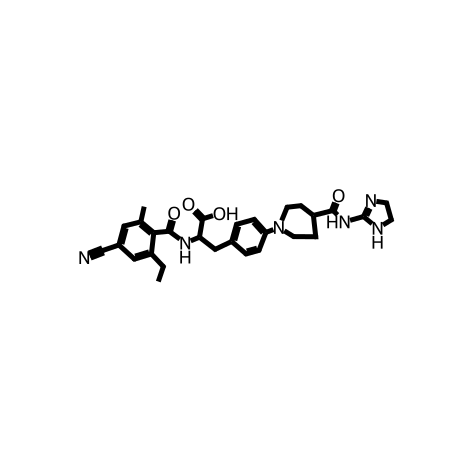 CCc1cc(C#N)cc(C)c1C(=O)NC(Cc1ccc(N2CCC(C(=O)NC3=NCCN3)CC2)cc1)C(=O)O